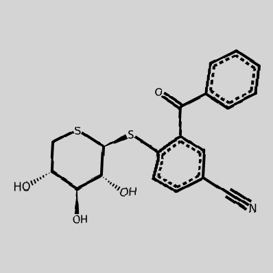 N#Cc1ccc(S[C@@H]2SC[C@@H](O)[C@H](O)[C@H]2O)c(C(=O)c2ccccc2)c1